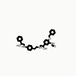 O=CNc1cc(C(O)CNCCc2ccc(NCC(O)c3ccccc3)cc2)ccc1OCc1ccccc1